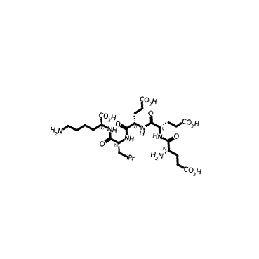 CC(C)C[C@H](NC(=O)[C@H](CCC(=O)O)NC(=O)[C@H](CCC(=O)O)NC(=O)[C@@H](N)CCC(=O)O)C(=O)N[C@@H](CCCCN)C(=O)O